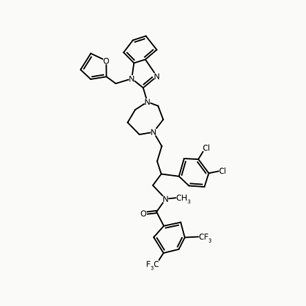 CN(CC(CCN1CCCN(c2nc3ccccc3n2Cc2ccco2)CC1)c1ccc(Cl)c(Cl)c1)C(=O)c1cc(C(F)(F)F)cc(C(F)(F)F)c1